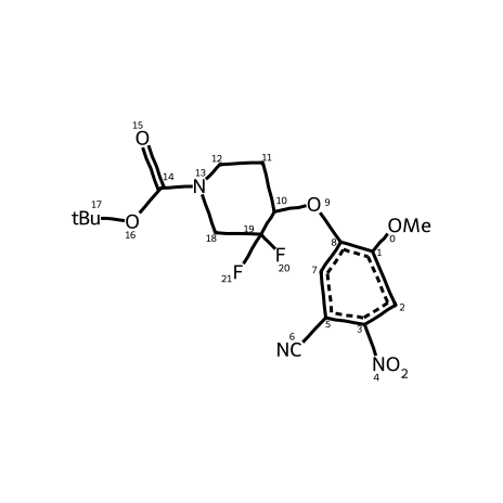 COc1cc([N+](=O)[O-])c(C#N)cc1OC1CCN(C(=O)OC(C)(C)C)CC1(F)F